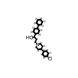 OC(CCN1CC=C(c2ccc(Cl)cc2)CC1)c1ccc(-c2ccccc2)cc1